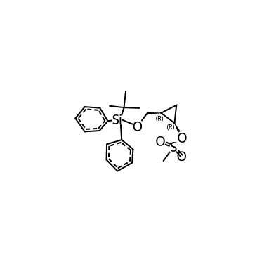 CC(C)(C)[Si](OC[C@H]1C[C@H]1OS(C)(=O)=O)(c1ccccc1)c1ccccc1